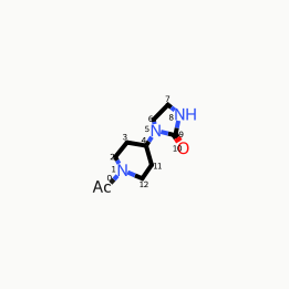 CC(=O)N1CCC(N2CCNC2=O)CC1